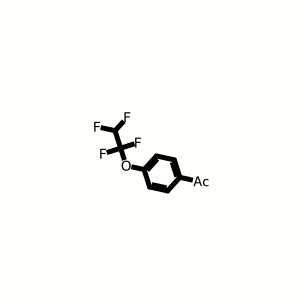 CC(=O)c1ccc(OC(F)(F)C(F)F)cc1